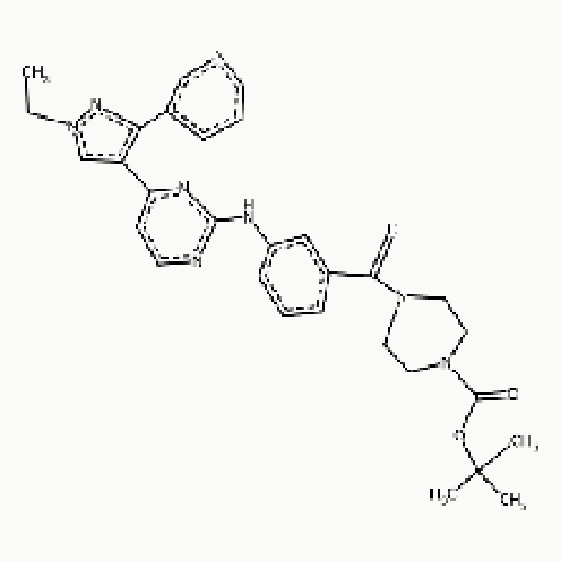 CCn1cc(-c2ccnc(Nc3cccc(C(=O)N4CCN(C(=O)OC(C)(C)C)CC4)c3)n2)c(-c2cccnc2)n1